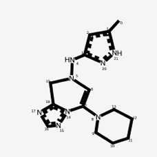 Cc1cc(NN2C=C(N3CCCCC3)n3ncnc3C2)n[nH]1